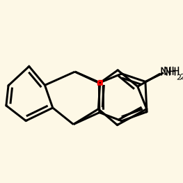 Nc1ccc2c(c1)C1c3ccccc3C2c2ccc(N)cc21